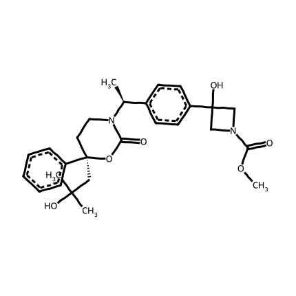 COC(=O)N1CC(O)(c2ccc([C@H](C)N3CC[C@](CC(C)(C)O)(c4ccccc4)OC3=O)cc2)C1